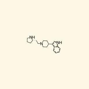 c1ccc2c(C3CCN(CC[C@@H]4CCCN4)CC3)c[nH]c2c1